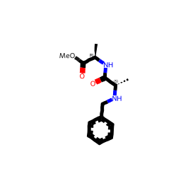 COC(=O)[C@@H](C)NC(=O)[C@H](C)NCc1ccccc1